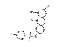 O=c1c2cc(NS(=O)(=O)c3ccc(F)cc3)ccc2oc2cc(O)cc(O)c12